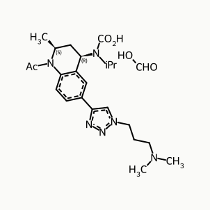 CC(=O)N1c2ccc(-c3cn(CCCN(C)C)nn3)cc2[C@H](N(C(=O)O)C(C)C)C[C@@H]1C.O=CO